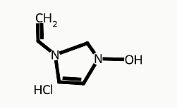 C=CN1C=CN(O)C1.Cl